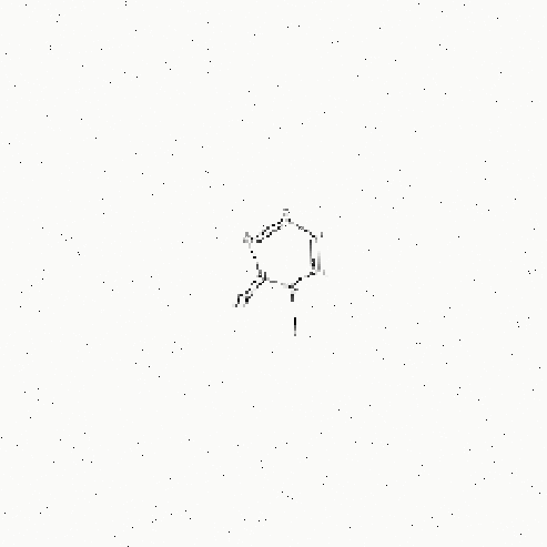 O=C1C=CC=CC1I